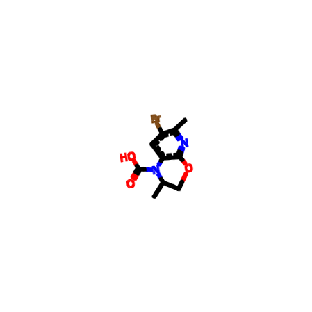 Cc1nc2c(cc1Br)N(C(=O)O)C(C)CO2